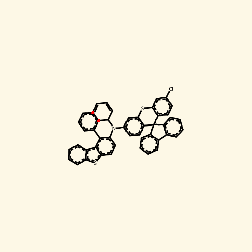 Clc1ccc2c(c1)Sc1cc(N(c3ccc4sc5ccccc5c4c3-c3ccccc3)C3C=CC=CC3)ccc1C21c2ccccc2-c2ccccc21